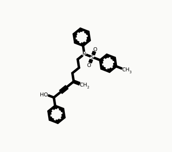 C=C(C#CC(O)c1ccccc1)CCCN(c1ccccc1)S(=O)(=O)c1ccc(C)cc1